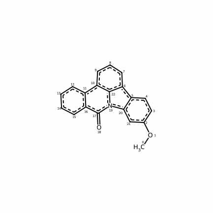 COc1ccc2c3cccc4c5ccccc5c(=O)n(c2c1)c43